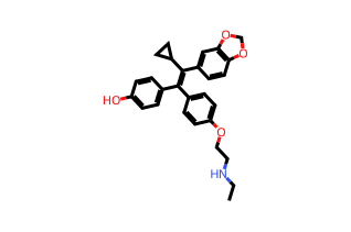 CCNCCOc1ccc(C(=C(c2ccc3c(c2)OCO3)C2CC2)c2ccc(O)cc2)cc1